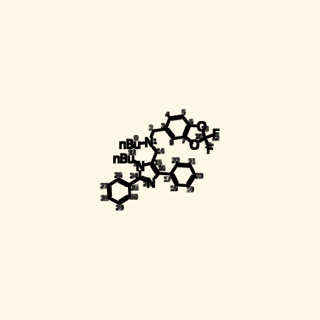 CCCCN(Cc1ccc2c(c1)OC(F)(F)O2)Cc1c(-c2ccccc2)nc(-c2ccccc2)n1CCCC